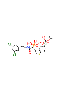 CC(C)OC(=O)OCOP(=O)(O)C(C(=O)N/C=C/c1cc(Cl)cc(Cl)c1)C1CSc2ccc(Cl)cc21